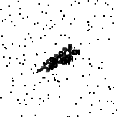 C#Cc1ccc(S(=O)(=O)N2C[C@H](Oc3ccc(C#N)c(F)c3)[C@](O)(CO)C2)nc1